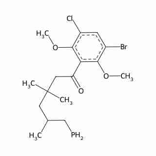 COc1c(Cl)cc(Br)c(OC)c1C(=O)CC(C)(C)CC(C)CP